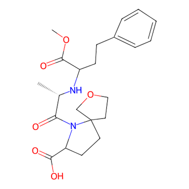 COC(=O)C(CCc1ccccc1)N[C@@H](C)C(=O)N1C(C(=O)O)CCC12CCOC2